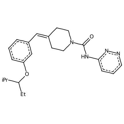 CCC(Oc1cccc(C=C2CCN(C(=O)Nc3cccnn3)CC2)c1)C(C)C